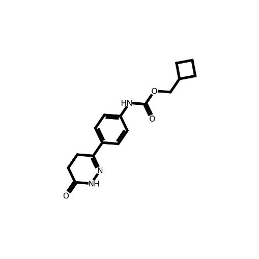 O=C1CCC(c2ccc(NC(=O)OCC3CCC3)cc2)=NN1